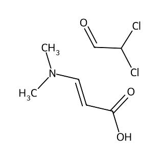 CN(C)C=CC(=O)O.O=CC(Cl)Cl